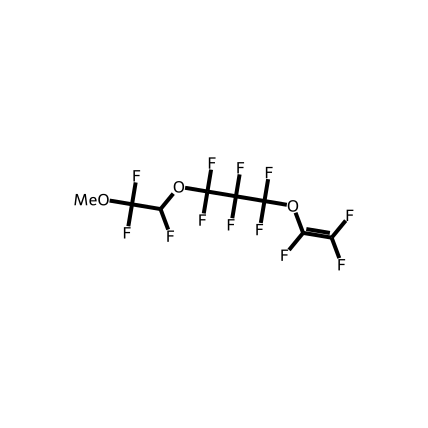 COC(F)(F)C(F)OC(F)(F)C(F)(F)C(F)(F)OC(F)=C(F)F